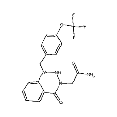 NC(=O)CN1NN(Cc2ccc(OC(F)(F)F)cc2)c2ccccc2C1=O